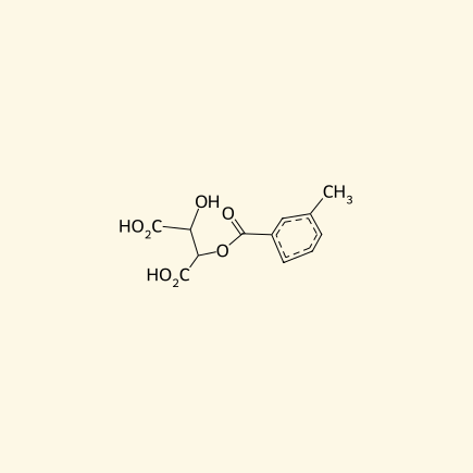 Cc1cccc(C(=O)OC(C(=O)O)C(O)C(=O)O)c1